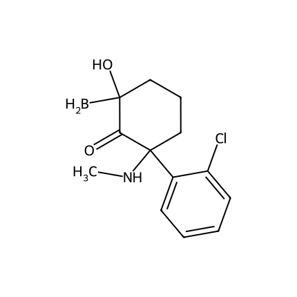 BC1(O)CCCC(NC)(c2ccccc2Cl)C1=O